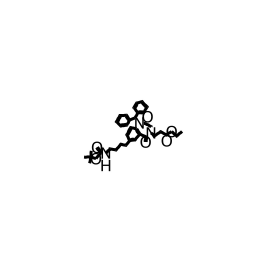 CCOC(=O)CCN1CC(=O)N(C(c2ccccc2)c2ccccc2)c2ccc(CCCCNC(=O)OC(C)(C)C)cc2C1=O